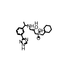 CC(NC[C@H](O)CP(=O)(O)CC1CCCCC1)c1cccc(-c2nc[nH]n2)c1